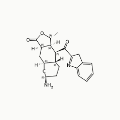 C[C@H]1OC(=O)[C@@H]2C[C@@H]3C[C@H](N)CC[C@H]3[C@H](C(=O)C3=Nc4ccccc4C3)[C@H]12